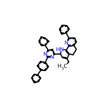 CCC1=CC(c2cc(-c3ccccc3)nc(-c3ccc(-c4ccccc4)cc3)n2)NC2=C1CCc1ccc(-c3ccccc3)nc12